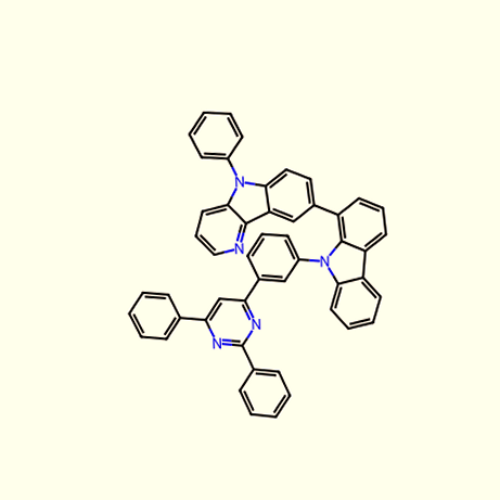 c1ccc(-c2cc(-c3cccc(-n4c5ccccc5c5cccc(-c6ccc7c(c6)c6ncccc6n7-c6ccccc6)c54)c3)nc(-c3ccccc3)n2)cc1